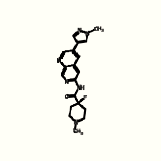 CN1CCC(F)(C(=O)Nc2cc3cc(-c4cnn(C)c4)cnc3cn2)CC1